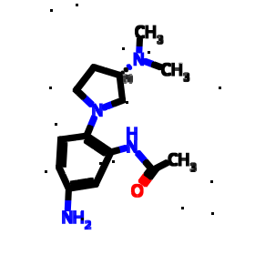 CC(=O)Nc1cc(N)ccc1N1CC[C@H](N(C)C)C1